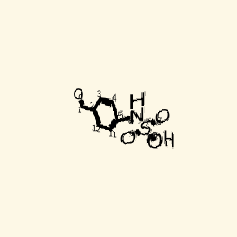 O=Cc1ccc(NS(=O)(=O)O)cc1